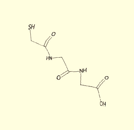 O=C(O)CNC(=O)CNC(=O)CS